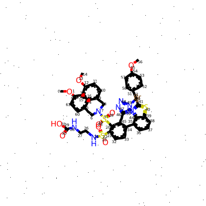 COc1ccc(CN(Cc2ccc(OC)cc2)S(=O)(=O)c2c(S(=O)(=O)NCCNC(=O)O)ccc(-c3cccc4sc(Br)nc34)c2-c2nnn(Cc3ccc(OC)cc3)n2)cc1